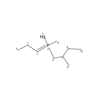 CCC=P(C)(S)CC(C)CC